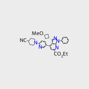 CCOC(=O)c1cc(-c2ccc(N3CCC(C#N)CC3)nc2)c2c(n1)n(-c1ccccc1)nc2[C@H]1C[C@@H](OC)C1